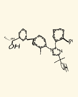 Cc1cc(-c2cccc([C@@H](C)O)c2)ccc1-n1cc(C(C)(C)O)nc1-c1ccccc1C(C)C